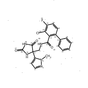 Cn1nccc1C1(CNC(=O)c2c(-c3ccccc3)ccc(F)c2Cl)NC(=O)NC1=O